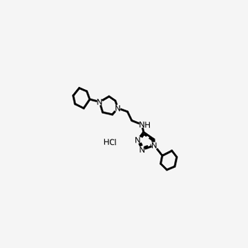 Cl.c1c(NCCN2CCN(C3CCCCC3)CC2)nnn1C1CCCCC1